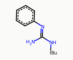 CC(C)(C)N/C(N)=N/c1ccccc1